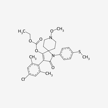 CCOC(=O)OC1=C(c2c(C)cc(Cl)cc2C)C(=O)N(c2ccc(SC)cc2)C12CCN(OC)CC2